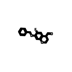 O=CC1CCOc2cc(OCc3ccccc3)c(F)cc21